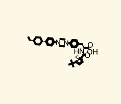 CC[C@H]1CC[C@H](c2ccc(N3CCN(c4ccc(C[C@H](NC(=O)c5ccc(C(C)(C)C)s5)C(=O)O)cc4)CC3)cc2)CC1